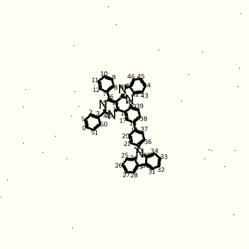 c1ccc(-c2nc(-c3ccccc3)c3c(n2)c2cc(-c4ccc(-n5c6ccccc6c6ccccc65)cc4)ccc2n2c4ccccc4nc32)cc1